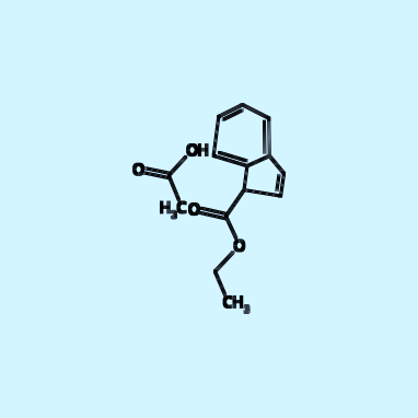 CC(=O)O.CCOC(=O)C1C=Cc2ccccc21